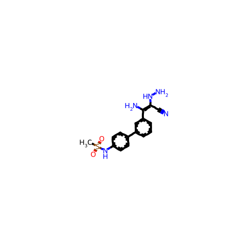 CS(=O)(=O)Nc1ccc(-c2cccc(/C(N)=C(\C#N)NN)c2)cc1